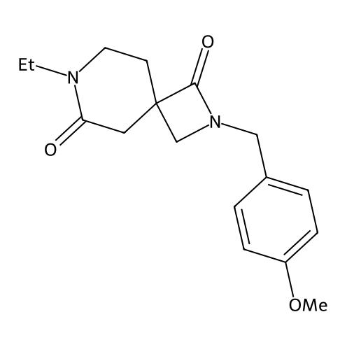 CCN1CCC2(CC1=O)CN(Cc1ccc(OC)cc1)C2=O